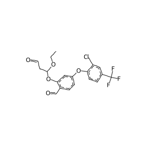 CCOC(CC=O)Oc1cc(Oc2ccc(C(F)(F)F)cc2Cl)ccc1C=O